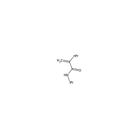 C=C(CCC)C(=O)NC(C)C